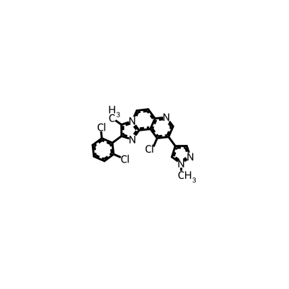 Cc1c(-c2c(Cl)cccc2Cl)nc2c3c(Cl)c(-c4cnn(C)c4)cnc3ccn12